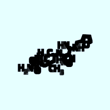 CC(CC(C)(C)CNS(N)(=O)=O)Nc1nonc1C(=N)NCc1ccco1